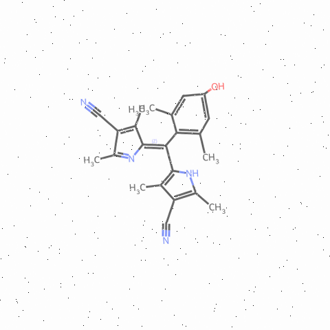 CC1=N/C(=C(\c2[nH]c(C)c(C#N)c2C)c2c(C)cc(O)cc2C)C(C)=C1C#N